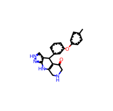 Cc1ccc(Oc2cccc(C3C4=C(CNCC4=O)Nc4n[nH]cc43)c2)cc1